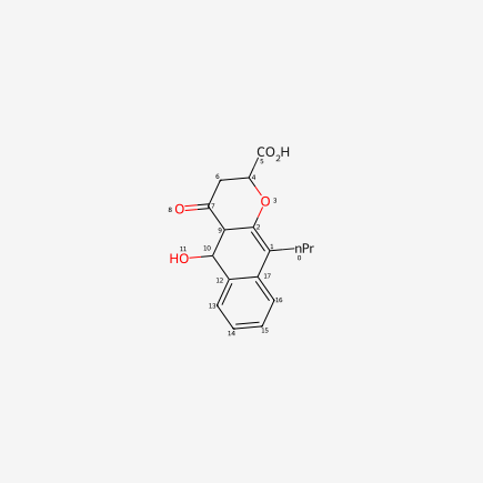 CCCC1=C2OC(C(=O)O)CC(=O)C2C(O)c2ccccc21